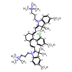 CC1(C)C(/C=C/C2=C(c3ccc(C(=O)O)cc3Cl)C(=C/C=C3/N(CCC[N+](C)(C)C)c4ccc(S(=O)(=O)O)cc4C3(C)C)/CCC2)=[N+](CCC[N+](C)(C)C)c2ccc(S(=O)(=O)O)cc21